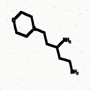 NCCC(N)CCN1CCOCC1